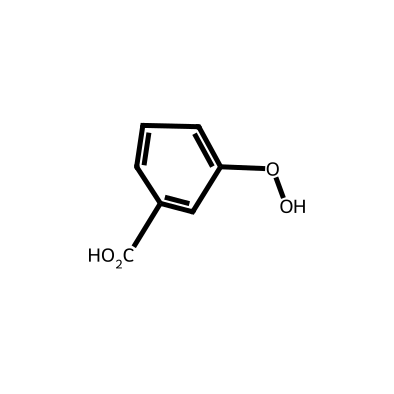 O=C(O)c1cccc(OO)c1